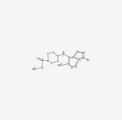 CCn1ncc2c(NC3CCC(C(=O)OC(C)(C)C)CC3)c(C=O)cnc21